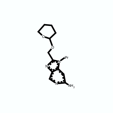 CC(C)n1c(COC2CCCCO2)nc2cnc(N)cc21